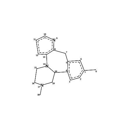 Cc1ccc2c(c1)Cc1ncccc1N1CCN(C)CC21